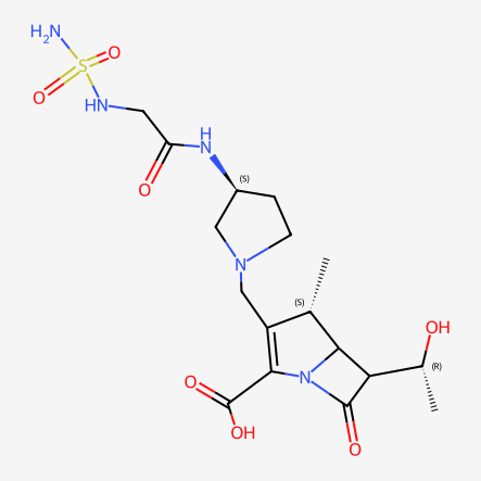 C[C@@H](O)C1C(=O)N2C(C(=O)O)=C(CN3CC[C@H](NC(=O)CNS(N)(=O)=O)C3)[C@H](C)C12